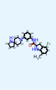 Cc1ccc(F)c2c1NC(C(=O)Nc1cccc(N3CCC4(CCCN4)CC3)c1)C2